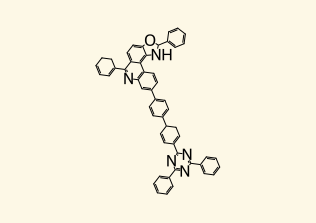 C1=CCCC(c2nc3cc(-c4ccc(C5C=CC(c6nc(-c7ccccc7)nc(-c7ccccc7)n6)=CC5)cc4)ccc3c3c4c(ccc23)OC(c2ccccc2)N4)=C1